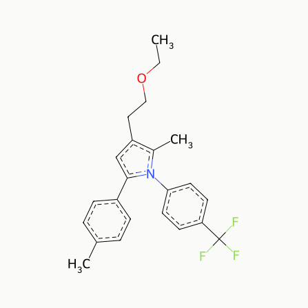 CCOCCc1cc(-c2ccc(C)cc2)n(-c2ccc(C(F)(F)F)cc2)c1C